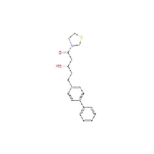 O=C(CC(O)CCc1ccc(-c2ccccc2)cc1)N1CCSC1